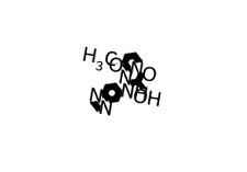 COc1cccn2c(=O)c(CO)c(Nc3ccc4nccnc4c3)nc12